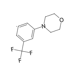 FC(F)(F)c1c[c]cc(N2CCOCC2)c1